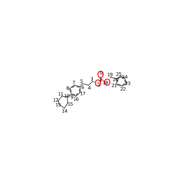 O=C(OCCCc1ccc(C2CCCCC2)cc1)OCc1ccccc1